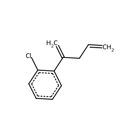 C=CCC(=C)c1ccccc1Cl